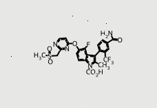 Cc1c(-c2ccc(C(N)=O)cc2C(F)(F)F)c2c(F)c(Oc3ccnc(CS(C)(=O)=O)n3)ccc2n1C(=O)O